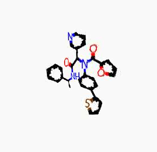 C[C@H](NC(=O)C(c1cccnc1)N(C(=O)c1ccco1)c1ccc(-c2cccs2)cc1)c1ccccc1